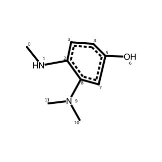 CNc1ccc(O)cc1N(C)C